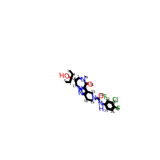 CCC(O)(CC)[C@@H]1CN(C)C(=O)c2c3c(nn2C1)CCN(C(=O)Nc1ccc(F)c(Cl)c1F)C3